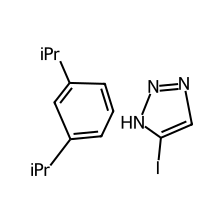 CC(C)c1cccc(C(C)C)c1.Ic1cnn[nH]1